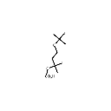 CC(C)(I)OCCC(C)(I)OC(=O)O